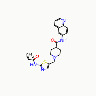 C=CC(=O)Nc1ncc(CN2CCC(C(=O)Nc3ccc4ncccc4c3)CC2)s1